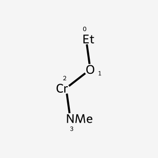 CC[O][Cr][NH]C